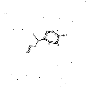 C=CCC(C)c1ccc(F)cc1